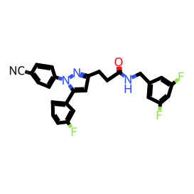 N#Cc1ccc(-n2nc(CCC(=O)NCc3cc(F)cc(F)c3)cc2-c2cccc(F)c2)cc1